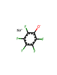 [Na+].[O-]c1c(F)c(F)c(F)c(F)c1F